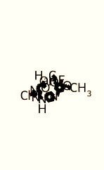 CCOc1cc(CN2CCC(Nc3cc(CC(=O)O)nc(Cl)n3)CC2)cc(OCC)c1F